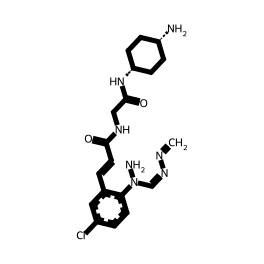 C=N/N=C\N(N)c1ccc(Cl)cc1/C=C/C(=O)NCC(=O)N[C@H]1CC[C@@H](N)CC1